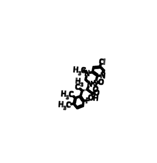 Cc1ccc(F)c(C(C)[C@@H](C(=O)O)N2CN(C)c3cc(Cl)cnc3S2(=O)=O)c1C